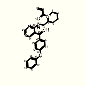 C=CC(=O)N1CCCCC1CNc1ncncc1C(=N)c1ccc(Oc2ccccc2)cc1